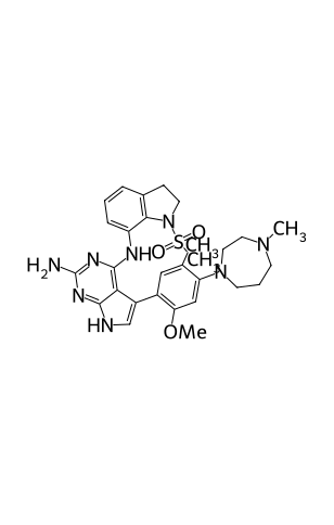 COc1cc(N2CCCN(C)CC2)c(C)cc1-c1c[nH]c2nc(N)nc(Nc3cccc4c3N(S(C)(=O)=O)CC4)c12